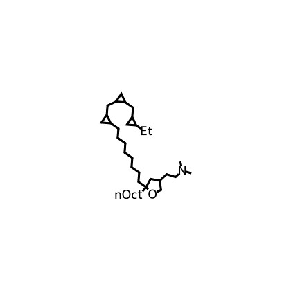 CCCCCCCCC1(CCCCCCCCC2CC2CC2CC2CC2CC2CC)CC(CCN(C)C)CO1